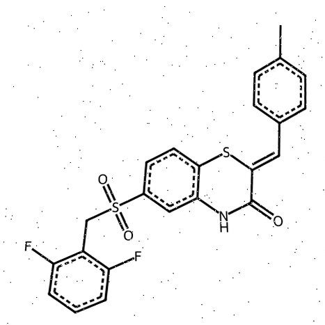 Cc1ccc(C=C2Sc3ccc(S(=O)(=O)Cc4c(F)cccc4F)cc3NC2=O)cc1